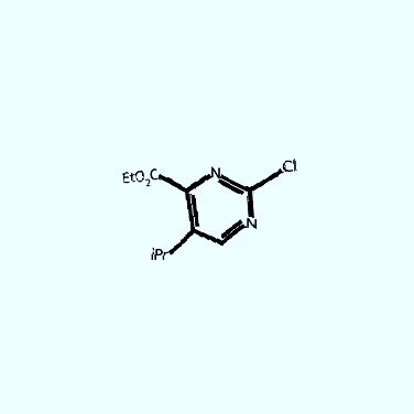 CCOC(=O)c1nc(Cl)ncc1C(C)C